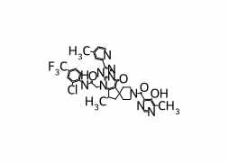 Cc1ccnc(-c2nc3n(CC(=O)Nc4ccc(C(F)(F)F)cc4Cl)c4c(c(=O)n3n2)C2(CCN(C(=O)c3ncnc(C)c3O)CC2)CC4C)c1